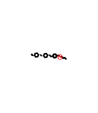 C=C[C@H]1CC[C@H](CC[C@H]2CC[C@H](CCc3ccc(COCC=CC)cc3)CC2)CC1